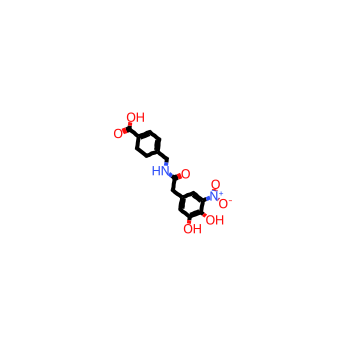 O=C(Cc1cc(O)c(O)c([N+](=O)[O-])c1)NCC1=CC=C(C(=O)O)CC1